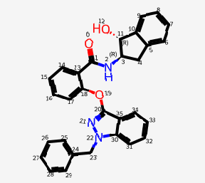 O=C(N[C@@H]1Cc2ccccc2[C@H]1O)c1ccccc1Oc1nn(Cc2ccccc2)c2ccccc12